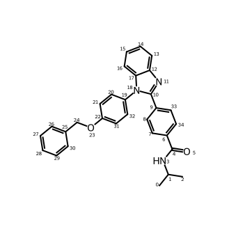 CC(C)NC(=O)c1ccc(-c2nc3ccccc3n2-c2ccc(OCc3ccccc3)cc2)cc1